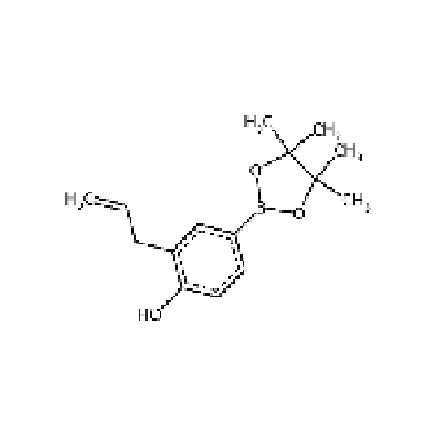 C=CCc1cc(B2OC(C)(C)C(C)(C)O2)ccc1O